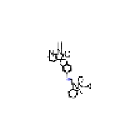 O=C1C(C2CC2)=NC2(CCCCC2)N1C/C=C/c1ccc2c(c1)CC1(C2)C(=O)Nc2ncccc21